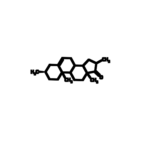 CC1CC2C3CC=C4C[C@@H](C)CCC4(C)C3CCC2(C)C1=O